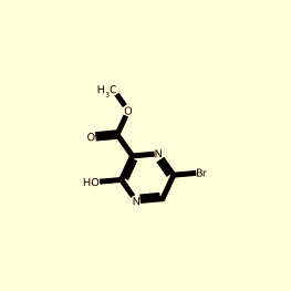 COC(=O)c1nc(Br)cnc1O